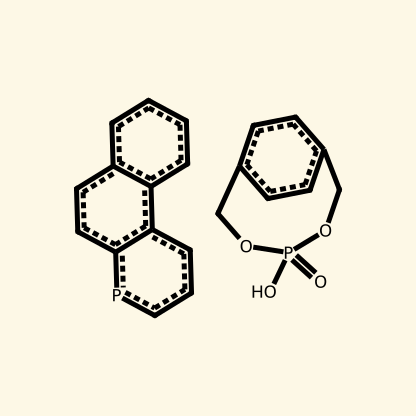 O=P1(O)OCc2ccc(cc2)CO1.c1ccc2c(c1)ccc1pcccc12